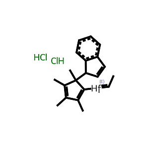 C/[CH]=[Hf]/[C]1=C(C)C(C)=C(C)C1(C)C1C=Cc2ccccc21.Cl.Cl